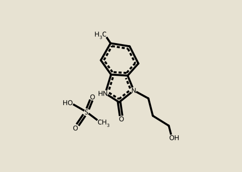 CS(=O)(=O)O.Cc1ccc2c(c1)[nH]c(=O)n2CCCO